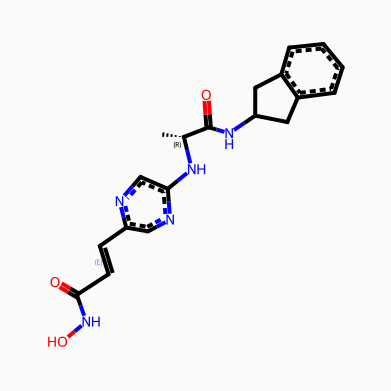 C[C@@H](Nc1cnc(/C=C/C(=O)NO)cn1)C(=O)NC1Cc2ccccc2C1